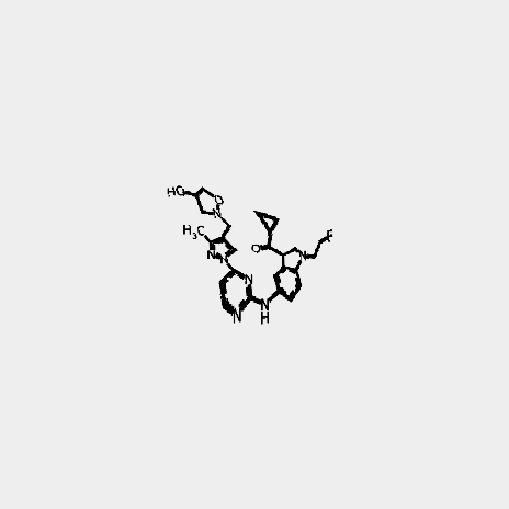 Cc1nn(-c2ccnc(Nc3ccc4c(c3)C(C(=O)C3CC3)CN4CCF)n2)cc1CN1CC(O)CO1